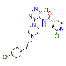 O=C(Nc1c(Cl)ncnc1N1CCN(CC=Cc2ccc(Cl)cc2)CC1)c1ccnc(Cl)c1